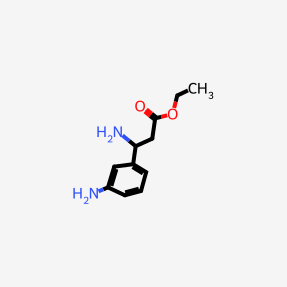 CCOC(=O)CC(N)c1cccc(N)c1